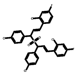 O=S(=O)(C(C=Cc1ccc(F)cc1Cl)c1ccc(Cl)cc1)C(C=Cc1ccc(F)cc1Cl)c1ccc(Cl)cc1